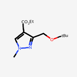 CCOC(=O)c1cn(C)nc1COC(C)(C)C